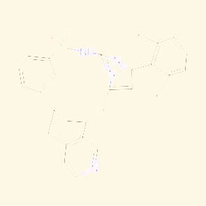 Cc1cccc(C)c1-c1cc2nc(n1)NS(=O)(=O)c1cccc(c1)C1Cc3ccncc3C(C1)O2